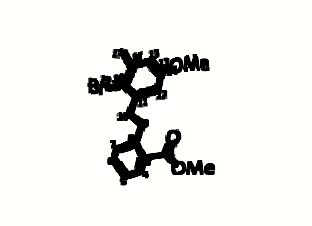 COC(=O)c1ccccc1CCc1cc(OC)cc(C)c1Br